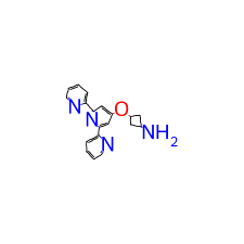 NC1CC(Oc2cc(-c3ccccn3)nc(-c3ccccn3)c2)C1